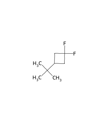 CC(C)(C)C1CC(F)(F)C1